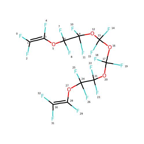 FC(F)=C(F)OC(F)(F)C(F)(F)OC(F)(F)OC(F)(F)OC(F)(F)C(F)(F)OC(F)=C(F)F